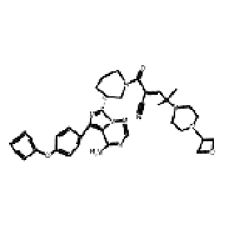 CC(C)(C=C(C#N)C(=O)N1CCC[C@@H](c2nc(-c3ccc(Oc4ccccc4)cc3)c3c(N)ncnn23)C1)N1CCN(C2COC2)CC1